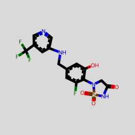 O=C1CN(c2c(O)cc(CNc3cncc(C(F)(F)F)c3)cc2F)S(=O)(=O)N1